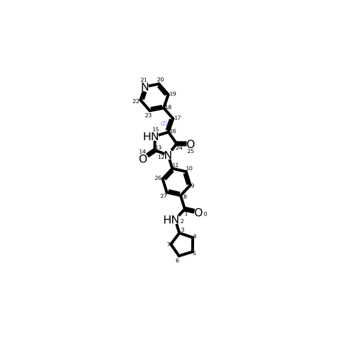 O=C(NC1CCCC1)c1ccc(N2C(=O)N/C(=C\c3ccncc3)C2=O)cc1